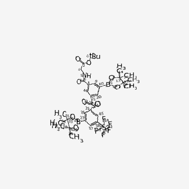 CC(C)(C)OC(=O)CNC(=O)c1cc(B2OC(C)(C)C(C)(C)O2)cc(S(=O)(=O)c2cc(B3OC(C)(C)C(C)(C)O3)cc(S(F)(F)(F)(F)F)c2)c1